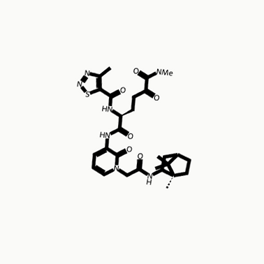 CNC(=O)C(=O)CC[C@H](NC(=O)c1snnc1C)C(=O)Nc1cccn(CC(=O)NC2CC3CC[C@]2(C)C3(C)C)c1=O